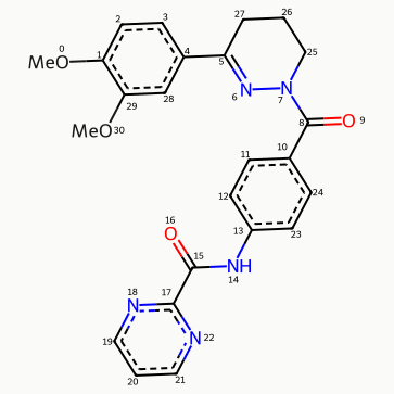 COc1ccc(C2=NN(C(=O)c3ccc(NC(=O)c4ncccn4)cc3)CCC2)cc1OC